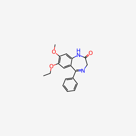 CCOc1cc2c(cc1OC)NC(=O)CN=C2c1ccccc1